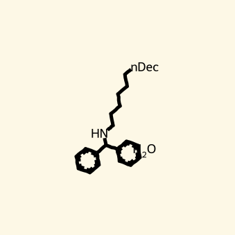 CCCCCCCCCCCCCCCCNC(c1ccccc1)c1ccccc1.O